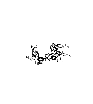 CNc1cc(-n2nc(C)cc2Nc2cc(NC(=O)c3cc(N4CCN(CC(F)F)C[C@H]4C)cc(C(F)(F)F)c3)ccc2C)ncn1